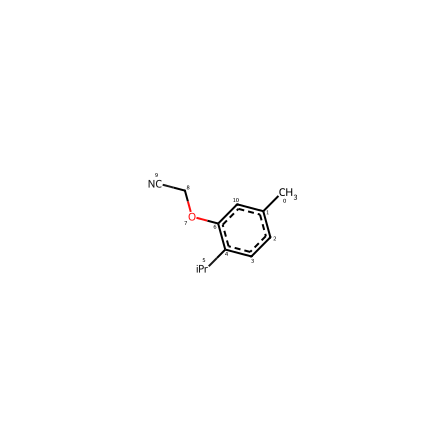 Cc1ccc(C(C)C)c(OCC#N)c1